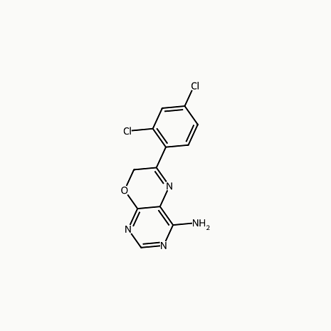 Nc1ncnc2c1N=C(c1ccc(Cl)cc1Cl)CO2